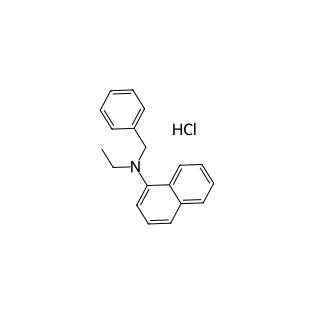 CCN(Cc1ccccc1)c1cccc2ccccc12.Cl